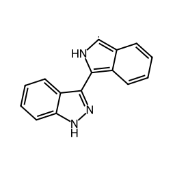 [c]1[nH]c(-c2n[nH]c3ccccc23)c2ccccc12